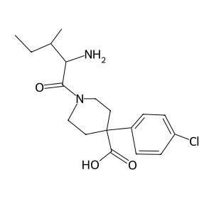 CCC(C)C(N)C(=O)N1CCC(C(=O)O)(c2ccc(Cl)cc2)CC1